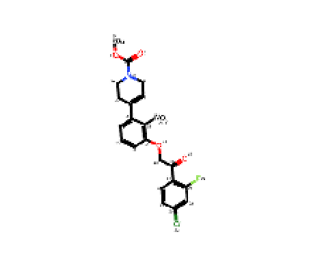 CC(C)(C)OC(=O)N1CC=C(c2cccc(OCC(=O)c3ccc(Cl)cc3F)c2[N+](=O)[O-])CC1